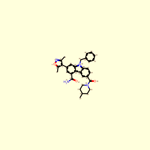 Cc1noc(C)c1-c1cc(C(N)=O)c2c3cc(C(=O)N4CCC(C)CC4)ccc3n(Cc3ccccc3)c2c1